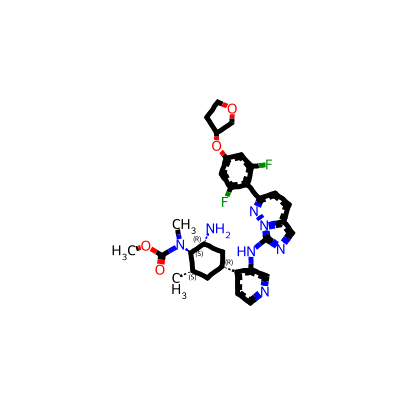 COC(=O)N(C)[C@@H]1[C@H](N)C[C@H](c2ccncc2Nc2ncc3ccc(-c4c(F)cc(OC5CCOC5)cc4F)nn23)C[C@@H]1C